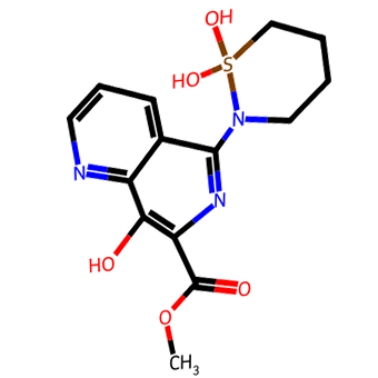 COC(=O)c1nc(N2CCCCS2(O)O)c2cccnc2c1O